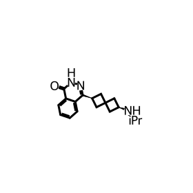 CC(C)N[C@H]1CC2(C1)C[C@H](c1n[nH]c(=O)c3ccccc31)C2